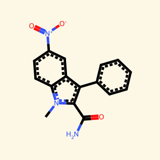 Cn1c(C(N)=O)c(-c2ccccc2)c2cc([N+](=O)[O-])ccc21